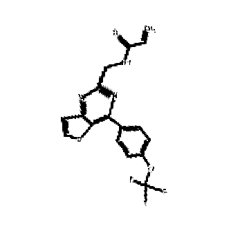 C=CC(=O)NCc1nc(-c2ccc(OC(F)(F)F)cc2)c2occc2n1